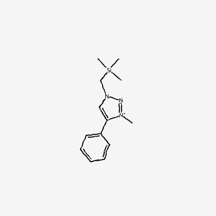 C[n+]1nn(C[Si](C)(C)C)cc1-c1ccccc1